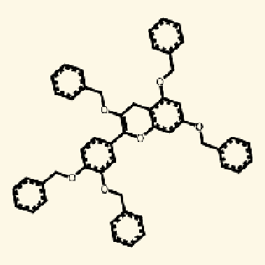 c1ccc(COC2=C(c3ccc(OCc4ccccc4)c(OCc4ccccc4)c3)Oc3cc(OCc4ccccc4)cc(OCc4ccccc4)c3C2)cc1